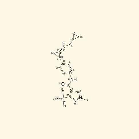 Cn1cc(C(=O)Nc2ccc([C@@H]3C[C@H]3NCC3CC3)cc2)c(C(F)(F)F)n1